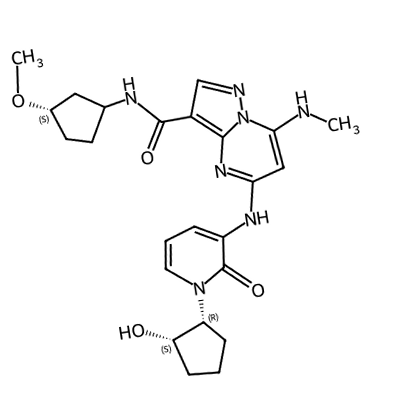 CNc1cc(Nc2cccn([C@@H]3CCC[C@@H]3O)c2=O)nc2c(C(=O)NC3CC[C@H](OC)C3)cnn12